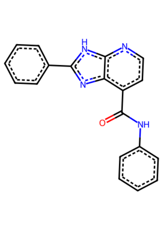 O=C(Nc1ccccc1)c1ccnc2[nH]c(-c3ccccc3)nc12